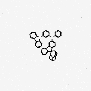 c1ccc(N(c2cccc(-n3c4ccccc4c4ccccc43)c2)c2ccc3c(c2)-c2ccccc2C32C3CC4CC(C3)CC2C4)cc1